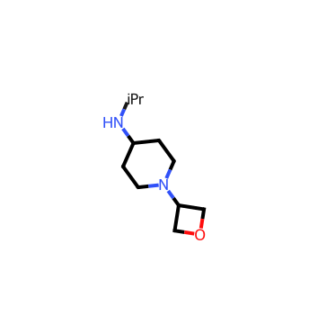 CC(C)NC1CCN(C2COC2)CC1